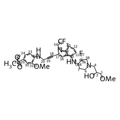 COCC(O)CN1CC[C@H](Nc2cccc3c2cc(C#CCNc2ccc(S(C)(=O)=O)cc2OC)n3CC(F)(F)F)[C@H](F)C1